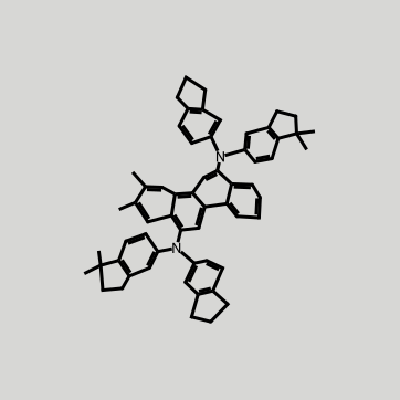 Cc1cc2c(N(c3ccc4c(c3)CCC4)c3ccc4c(c3)CCC4(C)C)cc3c4ccccc4c(N(c4ccc5c(c4)CCC5)c4ccc5c(c4)CCC5(C)C)cc3c2cc1C